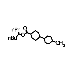 CCCCC(CCC)OC(=O)C1CCC(C2CCC(C)CC2)CC1